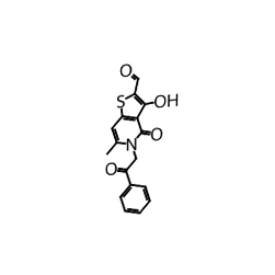 Cc1cc2sc(C=O)c(O)c2c(=O)n1CC(=O)c1ccccc1